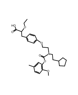 CCOC(Cc1ccc(OCCN(CCC2CCCC2)C(=O)Oc2cc(C)ccc2OC)cc1)C(=O)O